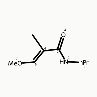 CCCNC(=O)C(C)=COC